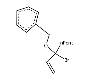 C=CC(Br)(CCCCC)OCc1ccccc1